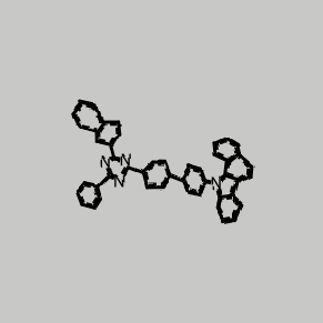 c1ccc(-c2nc(-c3ccc(-c4ccc(-n5c6ccccc6c6ccc7ccccc7c65)cc4)cc3)nc(-c3ccc4ccccc4c3)n2)cc1